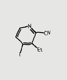 CCc1c(I)ccnc1C#N